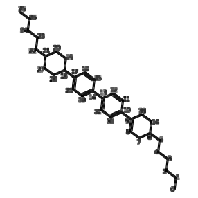 CCCCCCC1CC=C(c2ccc(-c3ccc(C4CCC(CCCCC)CC4)cc3)cc2)CC1